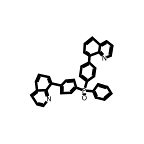 O=P(c1ccccc1)(c1ccc(-c2cccc3cccnc23)cc1)c1ccc(-c2cccc3cccnc23)cc1